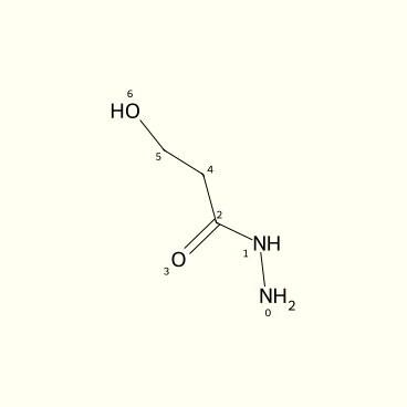 NNC(=O)CCO